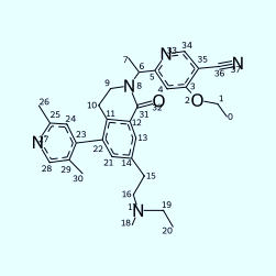 CCOc1cc(C(C)N2CCc3c(cc(CCN(C)CC)cc3-c3cc(C)ncc3C)C2=O)ncc1C#N